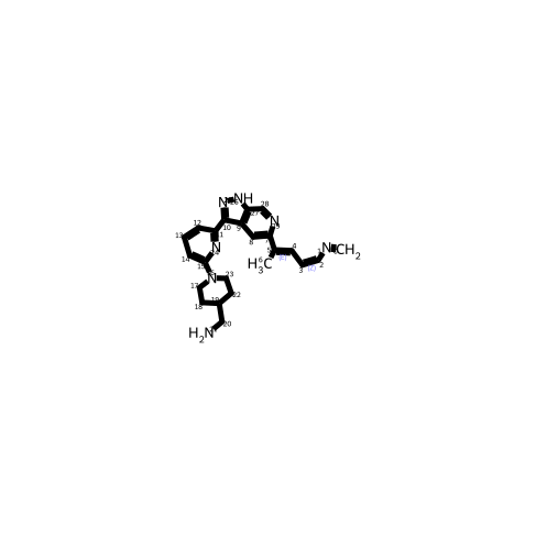 C=N/C=C\C=C(/C)c1cc2c(-c3cccc(N4CCC(CN)CC4)n3)n[nH]c2cn1